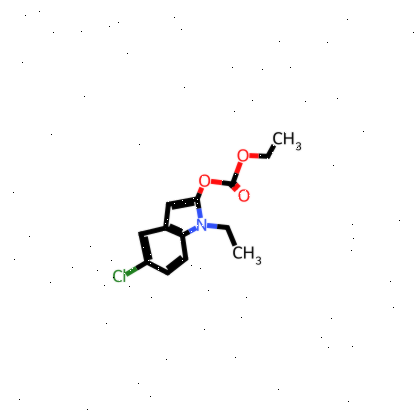 CCOC(=O)Oc1cc2cc(Cl)ccc2n1CC